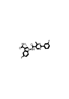 Cc1nc(-c2cccc(F)c2)ncc1C(=O)Nn1cc(C(N)=O)c2cc(F)ccc21